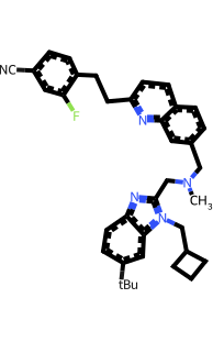 CN(Cc1ccc2ccc(CCc3ccc(C#N)cc3F)nc2c1)Cc1nc2ccc(C(C)(C)C)cc2n1CC1CCC1